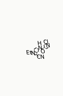 CCn1cc(C#N)c2cc(NC(=O)c3ccnc(Cl)c3)ccc21